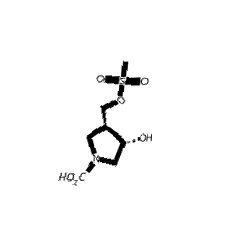 CS(=O)(=O)OC[C@@H]1CN(C(=O)O)C[C@H]1O